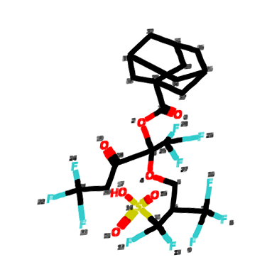 O=C(OC(OCC(C(F)(F)F)C(F)(F)S(=O)(=O)O)(C(=O)CC(F)(F)F)C(F)(F)F)C12CC3CC(CC(C3)C1)C2